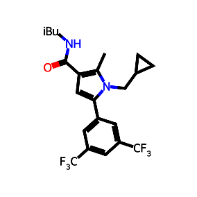 CCC(C)NC(=O)c1cc(-c2cc(C(F)(F)F)cc(C(F)(F)F)c2)n(CC2CC2)c1C